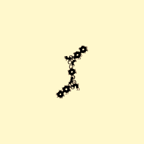 C=CC(=O)OC(COc1ccc(OCC(COc2ccc(-c3ccccc3)cc2)OC(=O)C=C)cc1)COc1ccc(-c2ccccc2)cc1